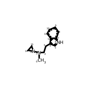 CN(CCc1c[nH]c2ccccc12)N1CC1